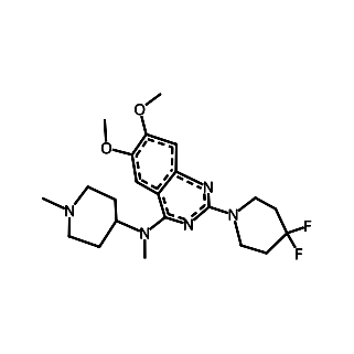 COc1cc2nc(N3CCC(F)(F)CC3)nc(N(C)C3CCN(C)CC3)c2cc1OC